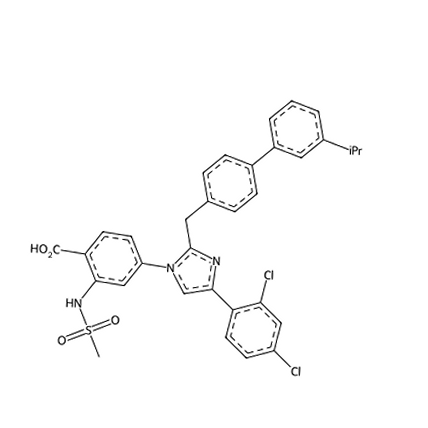 CC(C)c1cccc(-c2ccc(Cc3nc(-c4ccc(Cl)cc4Cl)cn3-c3ccc(C(=O)O)c(NS(C)(=O)=O)c3)cc2)c1